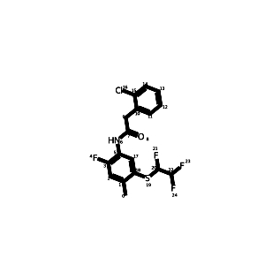 Cc1cc(F)c(NC(=O)Cc2ccccc2Cl)cc1SC(F)C(F)F